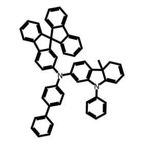 CC12CC=CC=C1N(c1ccccc1)c1cc(N(c3ccc(-c4ccccc4)cc3)c3ccc4c(c3)C3(c5ccccc5-c5ccccc53)c3ccccc3-4)ccc12